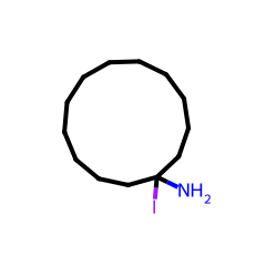 NC1(I)CCCCCCCCCCCC1